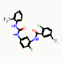 O=C(Nc1ccc(F)c(NC(=O)c2cc(C(F)(F)F)ccc2F)c1)Nc1ccccc1C(F)(F)F